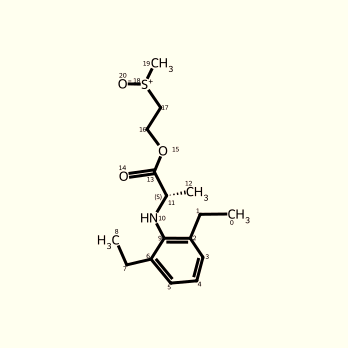 CCc1cccc(CC)c1N[C@@H](C)C(=O)OCC[S+](C)[O-]